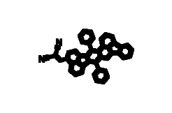 N#CC(C#N)=Cc1ccc2c3c(-c4ccccc4)c4c(cc5c6ccccc6c6cccc4c65)c(-c4ccccc4)c3c3cccc1c32